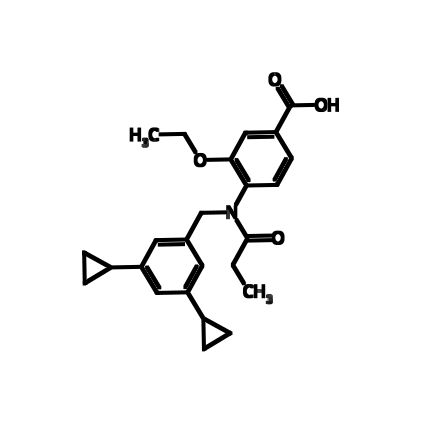 CCOc1cc(C(=O)O)ccc1N(Cc1cc(C2CC2)cc(C2CC2)c1)C(=O)CC